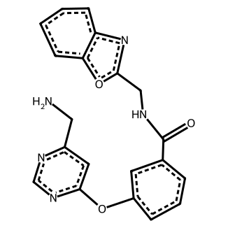 NCc1cc(Oc2cccc(C(=O)NCc3nc4ccccc4o3)c2)ncn1